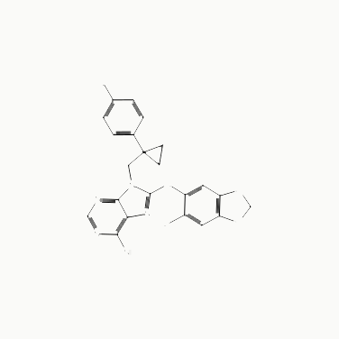 Nc1ncnc2c1nc(Sc1cc3c(cc1Br)OCO3)n2CC1(c2ccc(Cl)cc2)CC1